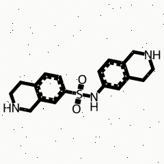 O=S(=O)(Nc1ccc2c(c1)CCNC2)c1ccc2c(c1)CNCC2